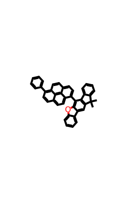 CC1(C)c2ccccc2-c2c1cc1c(oc3ccccc31)c2-c1ccc2ccc3c(-c4ccccc4)ccc4ccc1c2c43